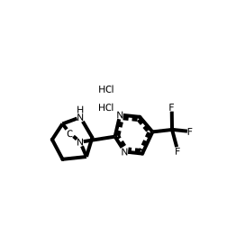 Cl.Cl.FC(F)(F)c1cnc(N2CC3CCC2CN3)nc1